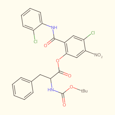 CC(C)(C)OC(=O)NC(Cc1ccccc1)C(=O)Oc1cc([N+](=O)[O-])c(Cl)cc1C(=O)Nc1ccccc1Cl